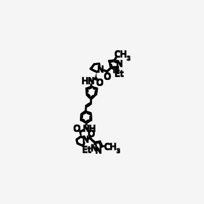 CCn1nc(C)cc1C(=O)N1CCC[C@H]1C(=O)Nc1ccc(/C=C/c2ccc(NC(=O)[C@@H]3CCCN3C(=O)c3cc(C)nn3CC)cc2)cc1